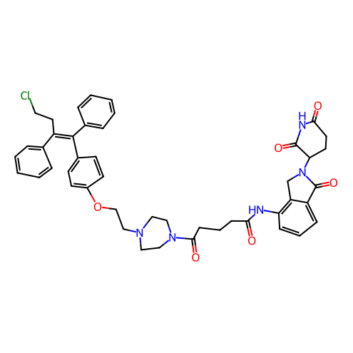 O=C1CCC(N2Cc3c(NC(=O)CCCC(=O)N4CCN(CCOc5ccc(C(=C(CCCl)c6ccccc6)c6ccccc6)cc5)CC4)cccc3C2=O)C(=O)N1